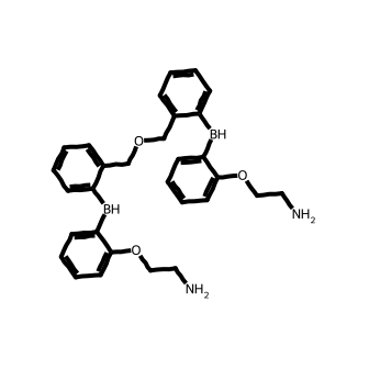 NCCOc1ccccc1Bc1ccccc1COCc1ccccc1Bc1ccccc1OCCN